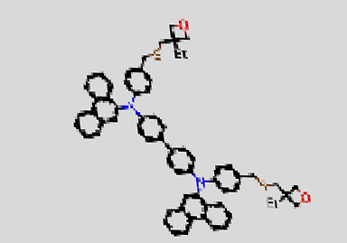 CCC1(CSCc2ccc(N(c3ccc(-c4ccc(N(c5ccc(CSCC6(CC)COC6)cc5)c5cc6ccccc6c6ccccc56)cc4)cc3)c3cc4ccccc4c4ccccc34)cc2)COC1